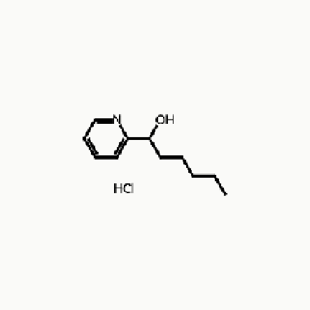 CCCCCC(O)c1ccccn1.Cl